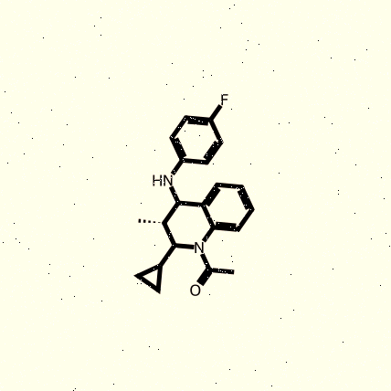 CC(=O)N1c2ccccc2C(Nc2ccc(F)cc2)[C@@H](C)C1C1CC1